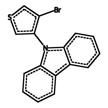 Brc1cscc1-n1c2ccccc2c2ccccc21